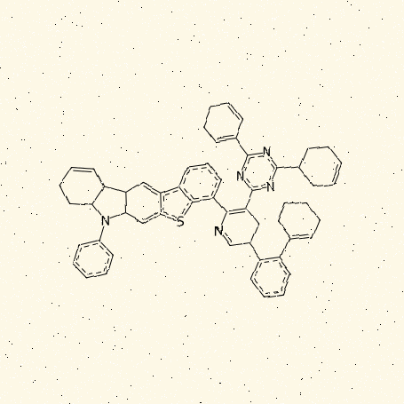 C1=CC(c2nc(C3=C(c4cccc5c6c(sc45)=CC4C(C=6)C5C=CCCC5N4c4ccccc4)N=CC(c4ccccc4C4=CCCCC4)C3)nc(C3CC=CCC3)n2)=CCC1